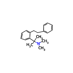 CN(C)C(C)(C)c1ccccc1CCc1ccccc1